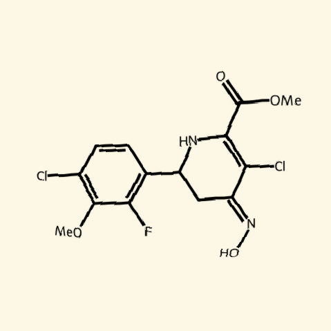 COC(=O)C1=C(Cl)C(=NO)CC(c2ccc(Cl)c(OC)c2F)N1